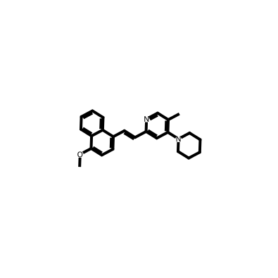 COc1ccc(C=Cc2cc(N3CCCCC3)c(C)cn2)c2ccccc12